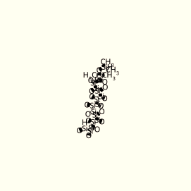 C[SiH](C)O[Si](C)(C)[Si](=O)[Si](=O)[Si](=O)[Si](=O)[Si](=O)[Si](=O)[Si](=O)[Si](=O)[Si](=O)[Si](=O)[Si](=O)[Si](=O)[Si](=O)[Si](=O)[SiH]=O